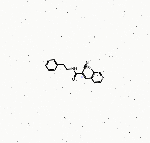 N#C/C(=C\c1ccncc1Br)C(=O)NCCc1ccccc1